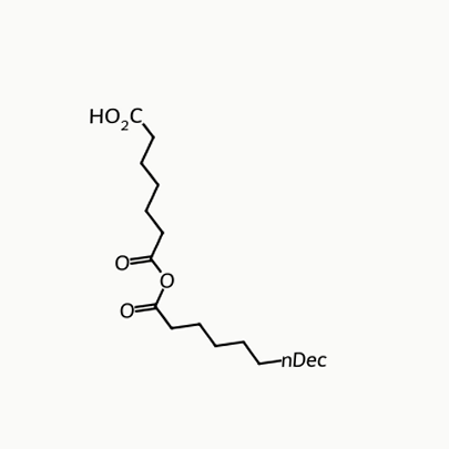 CCCCCCCCCCCCCCCC(=O)OC(=O)CCCCCC(=O)O